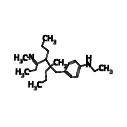 CCCC(/C(CC)=N/C)C(C)(CCC)Cc1ccc(NCC)cc1